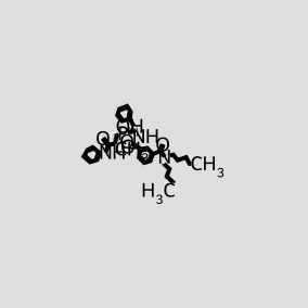 CCCCCN(CCCCC)C(=O)c1cccc(C(=O)N[C@@H](Cc2ccccc2)P(=O)(O)CC(C)C(=O)Nc2ccccc2)c1